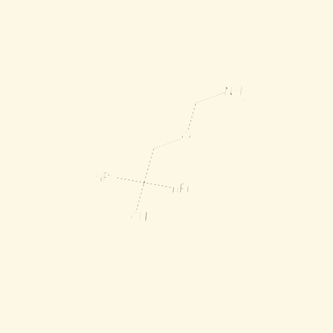 CCCC(C)(CCC)COCN